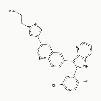 CNCCn1cc(-c2cnc3ccc(-c4c(-c5cc(Cl)ccc5F)[nH]c5cccnc45)cc3c2)cn1